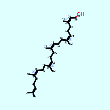 CC(C)=CCC/C(C)=C\CC/C(C)=C\CC/C(C)=C\CC/C(C)=C\CC/C(C)=C\CO